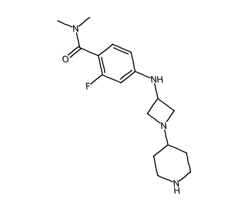 CN(C)C(=O)c1ccc(NC2CN(C3CCNCC3)C2)cc1F